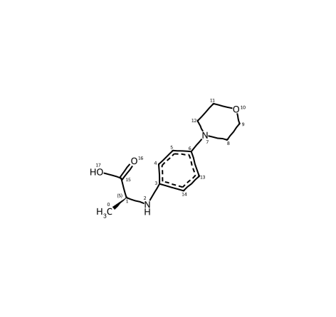 C[C@H](Nc1ccc(N2CCOCC2)cc1)C(=O)O